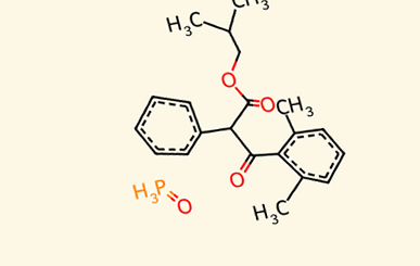 Cc1cccc(C)c1C(=O)C(C(=O)OCC(C)C)c1ccccc1.O=[PH3]